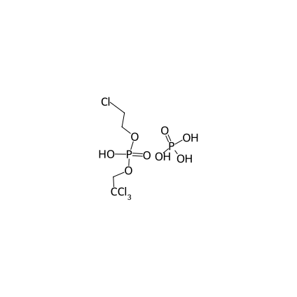 O=P(O)(O)O.O=P(O)(OCCCl)OCC(Cl)(Cl)Cl